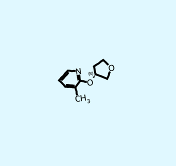 Cc1cccnc1O[C@@H]1CCOC1